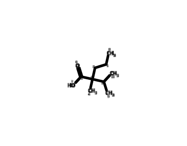 CCCC(C)(C(=O)O)C(C)C